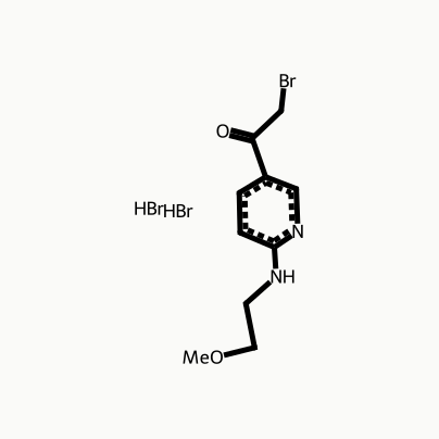 Br.Br.COCCNc1ccc(C(=O)CBr)cn1